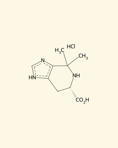 CC1(C)N[C@H](C(=O)O)Cc2[nH]cnc21.Cl